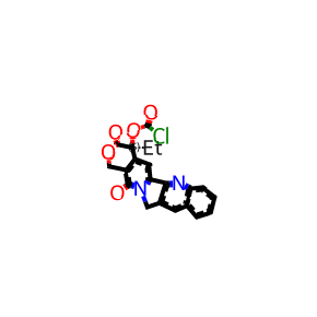 CC[C@@]1(OC(=O)Cl)C(=O)OCc2c1cc1n(c2=O)Cc2cc3ccccc3nc2-1